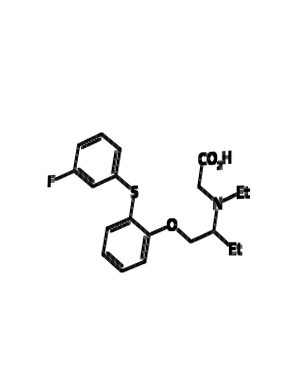 CCC(COc1ccccc1Sc1cccc(F)c1)N(CC)CC(=O)O